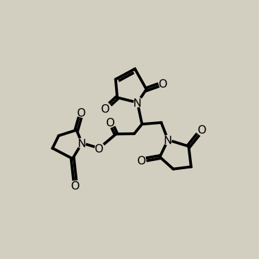 O=C(CC(CN1C(=O)CCC1=O)N1C(=O)C=CC1=O)ON1C(=O)CCC1=O